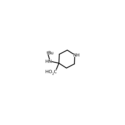 CC(C)(C)NC1(C(=O)O)CCNCC1